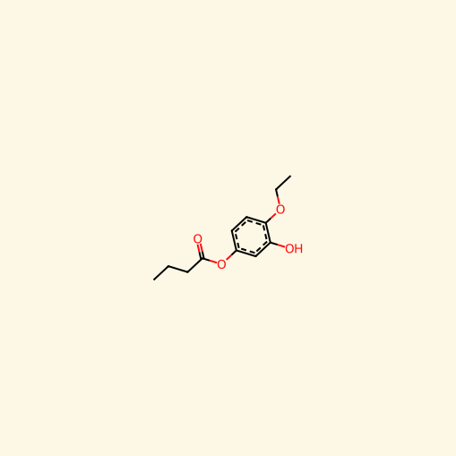 CCCC(=O)Oc1ccc(OCC)c(O)c1